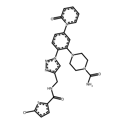 NC(=O)N1CCN(c2cc(-n3ccccc3=O)ccc2-n2cc(CNC(=O)c3ccc(Cl)s3)nn2)CC1